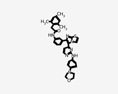 Cc1cc(C)c(CC(=O)Nc2cccc(-c3nc4sccn4c3-c3ccnc(Nc4ccc(N5CCOCC5)cc4)n3)c2)c(C)c1